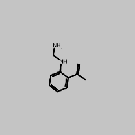 C=C(C)c1ccccc1NCN